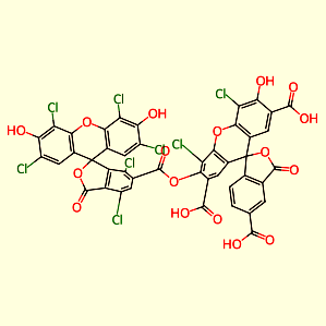 O=C(O)c1ccc2c(c1)C(=O)OC21c2cc(C(=O)O)c(O)c(Cl)c2Oc2c1cc(C(=O)O)c(OC(=O)c1cc(Cl)c3c(c1Cl)C1(OC3=O)c3cc(Cl)c(O)c(Cl)c3Oc3c1cc(Cl)c(O)c3Cl)c2Cl